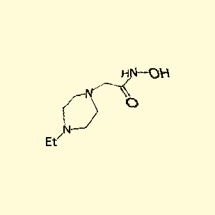 CCN1CCN(CC(=O)NO)CC1